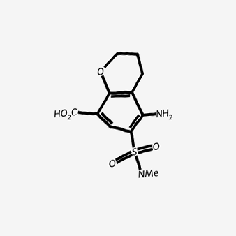 CNS(=O)(=O)c1cc(C(=O)O)c2c(c1N)CCCO2